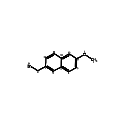 COc1ccc2cc(CBr)ccc2c1